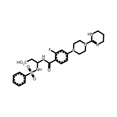 O=C(O)CC(NC(=O)c1ccc(N2CCN(C3=NCCCN3)CC2)cc1F)NS(=O)(=O)c1ccccc1